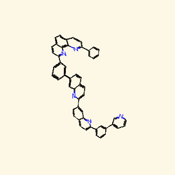 c1ccc(-c2ccc3ccc4ccc(-c5cccc(-c6ccc7ccc(-c8ccc9ccc(-c%10cccc(-c%11cccnc%11)c%10)nc9c8)nc7c6)c5)nc4c3n2)cc1